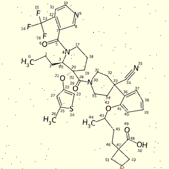 CCC[C@H]1N(C(=O)c2cnccc2C(F)(F)F)CCC[C@@]1(Oc1csc(C)c1)C(=O)N1CCC(C#N)(c2ccccc2OC(C)CCC2(C(=O)O)CCC2)CC1